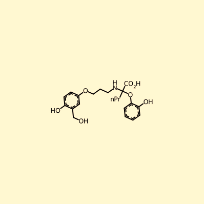 CCCC(NCCCOc1ccc(O)c(CO)c1)(Oc1ccccc1O)C(=O)O